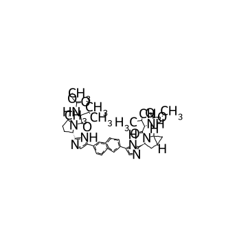 COC(=O)N[C@H](C(=O)N1[C@@H]2C[C@@H]2C[C@H]1c1ncc(-c2ccc3cc(-c4cnc([C@@H]5CC[C@H](C)N5C(=O)[C@@H](NC(=O)OC)C(C)C)[nH]4)ccc3c2)[nH]1)C(C)C